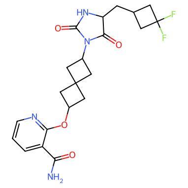 NC(=O)c1cccnc1OC1CC2(C1)CC(N1C(=O)NC(CC3CC(F)(F)C3)C1=O)C2